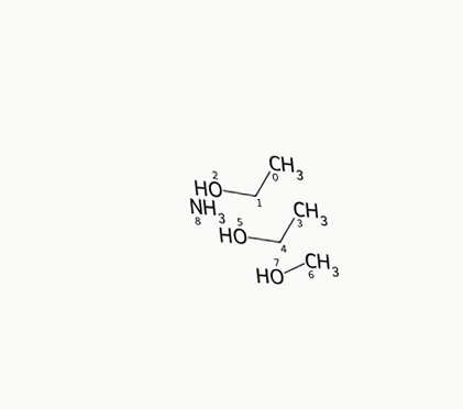 CCO.CCO.CO.N